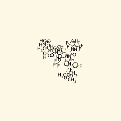 C[C@@H](OP(=O)(O)O)[C@H](NC(=O)N(c1nn(CC(F)(F)F)c2c(-c3ccc(CCC(C)(C)S(C)(=O)=O)nc3[C@H](Cc3cc(F)cc(F)c3)NC(=O)Cn3nc(C(F)(F)F)c4c3C(F)(F)C3C[C@H]43)ccc(Cl)c12)S(C)(=O)=O)C(=O)O